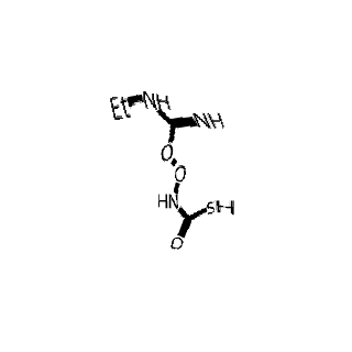 CCNC(=N)OONC(=O)S